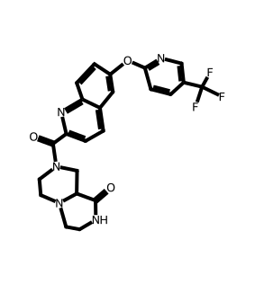 O=C1NCCN2CCN(C(=O)c3ccc4cc(Oc5ccc(C(F)(F)F)cn5)ccc4n3)CC12